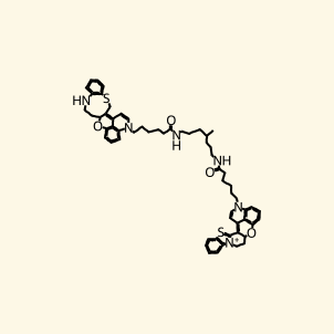 CC(CCCNC(=O)CCCCCN1C=CC2=C3CSc4ccccc4NCCC3Oc3cccc1c32)CCCNC(=O)CCCCCN1C=CC2=C3c4sc5ccccc5[n+]4CCC3Oc3cccc1c32